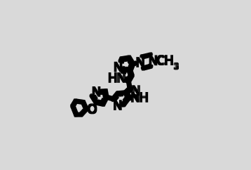 CN1CCN(c2ccnc3[nH]c(-c4n[nH]c5cnc(-c6cncc(OC7CCCCC7)c6)cc45)cc23)CC1